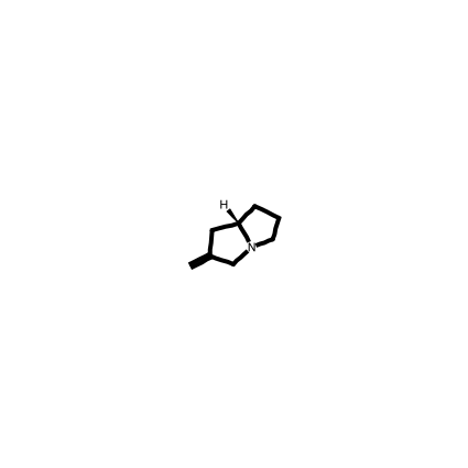 C=C1C[C@@H]2CCCN2C1